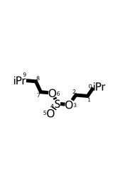 CC(C)CCOS(=O)OCCC(C)C